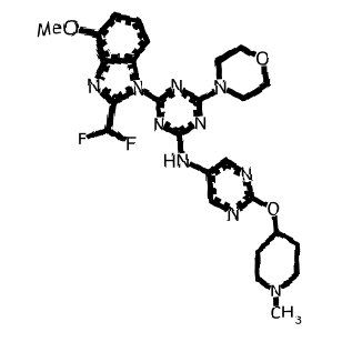 COc1cccc2c1nc(C(F)F)n2-c1nc(Nc2cnc(OC3CCN(C)CC3)nc2)nc(N2CCOCC2)n1